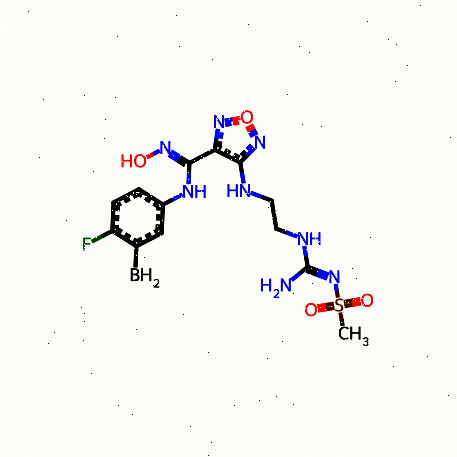 Bc1cc(N/C(=N\O)c2nonc2NCCN/C(N)=N/S(C)(=O)=O)ccc1F